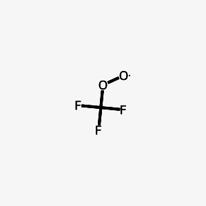 [O]OC(F)(F)F